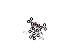 Cc1cc(C)c(N2c3cc4c(cc3B3c5cc6c(cc5N(c5c(C)cc(C)cc5C)c5cc(-n7c8ccccc8c8ccccc87)cc2c53)Oc2cc(-n3c5ccccc5c5ccccc53)cc3c2B6c2sc5ccccc5c2O3)B2c3sc5ccccc5c3Oc3cc(-n5c6ccccc6c6ccccc65)cc(c32)O4)c(C)c1